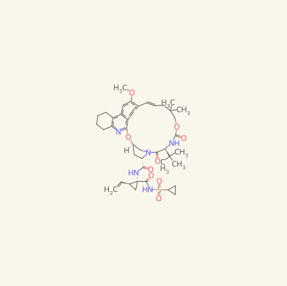 C=C[C@@H]1C[C@]1(NC(=O)[C@@H]1C[C@@H]2CN1C(=O)[C@H](C(C)(C)C)NC(=O)OCC(C)(C)C/C=C/c1cc3c(nc4c(c3cc1OC)CCCC4)O2)C(=O)NS(=O)(=O)C1CC1